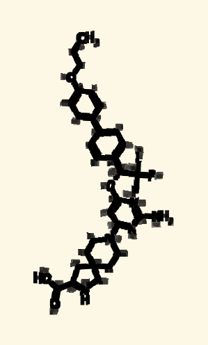 CCCOc1ccc(-c2ccc([C@@H](Oc3cc(N4CCC5(CC4)CNC(C(=O)O)C5)nc(N)n3)C(F)(F)F)cc2)cc1